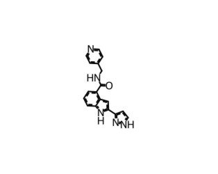 O=C(NCc1ccncc1)c1cccc2[nH]c(-c3cc[nH]n3)cc12